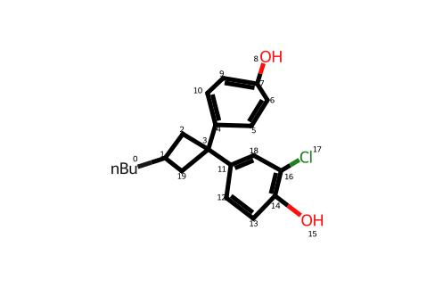 CCCCC1CC(c2ccc(O)cc2)(c2ccc(O)c(Cl)c2)C1